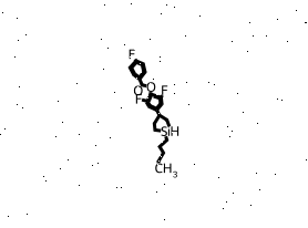 CCCCC[SiH]1CCC(c2cc(F)c(OC(=O)c3ccc(F)cc3)c(F)c2)CC1